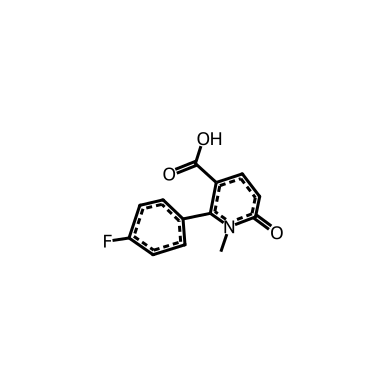 Cn1c(-c2ccc(F)cc2)c(C(=O)O)ccc1=O